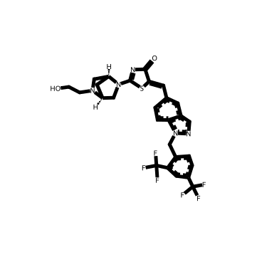 O=C1N=C(N2C[C@@H]3C[C@H]2CN3CCO)S/C1=C\c1ccc2c(cnn2Cc2ccc(C(F)(F)F)cc2C(F)(F)F)c1